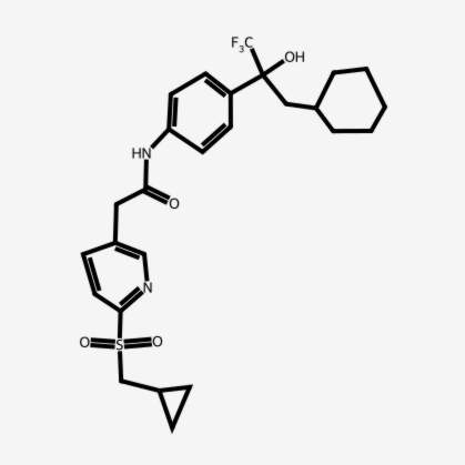 O=C(Cc1ccc(S(=O)(=O)CC2CC2)nc1)Nc1ccc(C(O)(CC2CCCCC2)C(F)(F)F)cc1